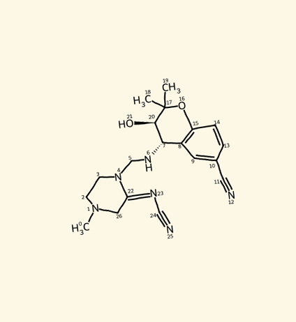 CN1CCN(CN[C@H]2c3cc(C#N)ccc3OC(C)(C)[C@@H]2O)C(=NC#N)C1